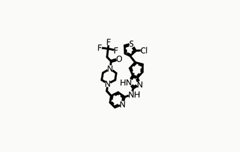 O=C(CC(F)(F)F)N1CCN(Cc2ccnc(Nc3nc4ccc(-c5ccsc5Cl)cc4[nH]3)c2)CC1